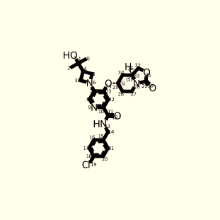 CC(C)(O)C1CN(c2cnc(C(=O)NCc3ccc(Cl)cc3)cc2O[C@H]2CCN3C(=O)OC[C@@H]3C2)C1